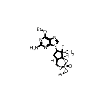 CCOc1nc(N)nc2c1ncn2[C@@H]1C[C@@H]2CO[P@@](=O)(OC(C)C)O[C@H]2[C@@]1(C)F